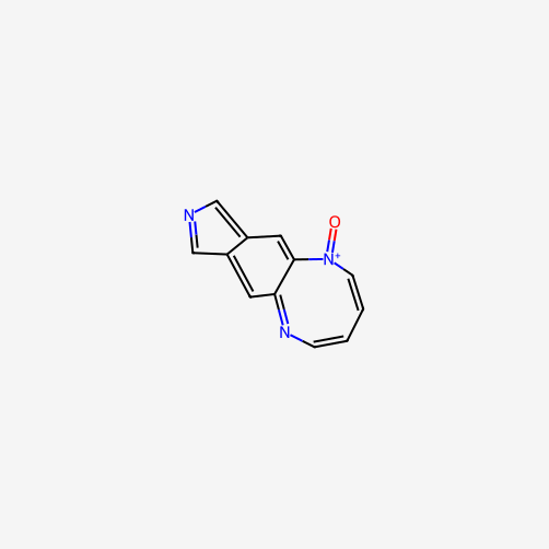 O=[n+]1ccccnc2cc3cncc3cc21